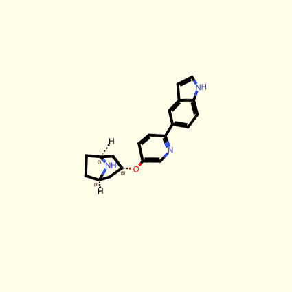 c1cc2cc(-c3ccc(O[C@@H]4C[C@H]5CC[C@@H](C4)N5)cn3)ccc2[nH]1